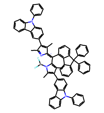 CC1=N/C(=C(/c2cccc3c2-c2ccccc2C3(c2ccccc2)c2ccccc2)c2c(C)c(-c3ccc4c(c3)c3ccccc3n4-c3ccccc3)c(C)n2B(F)F)C(C)=C1c1ccc2c(c1)c1ccccc1n2-c1ccccc1